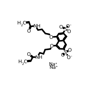 C=CC(=O)NCCCCOc1cc(S(=O)(=O)[O-])cc2cc(S(=O)(=O)[O-])cc(OCCCCNC(=O)C=C)c12.[Na+].[Na+]